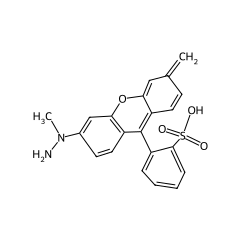 C=c1ccc2c(c1)Oc1cc(N(C)N)ccc1C=2c1ccccc1S(=O)(=O)O